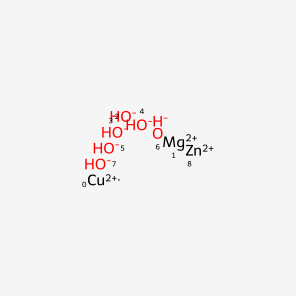 [Cu+2].[Mg+2].[OH-].[OH-].[OH-].[OH-].[OH-].[OH-].[Zn+2]